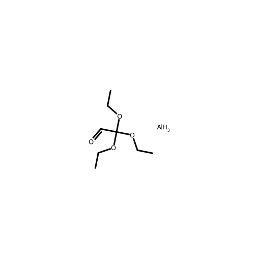 CCOC(C=O)(OCC)OCC.[AlH3]